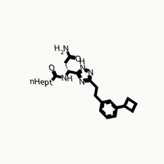 CCCCCCCC(=O)N[C@H](CC(N)=O)c1nc(CCc2cccc(C3CCC3)c2)n[nH]1